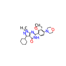 COc1cc(N2CCOCC2)ccc1-c1nc2c(c(C3CCCCC3)nn2C)c(=O)[nH]1